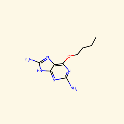 CCCCOc1nc(N)nc2[nH]c(N)nc12